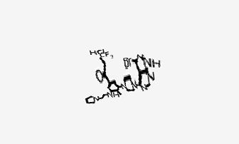 Cc1c(NCCN2CCCC2)cc(C(=O)CCC(F)(F)F)cc1N1CCN(c2ncnc3[nH]nc(Br)c23)CC1.Cl